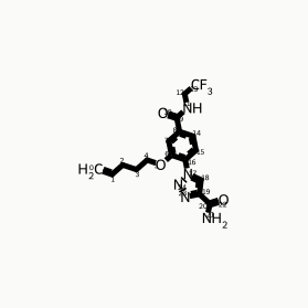 C=CCCCOc1cc(C(=O)NCC(F)(F)F)ccc1-n1cc(C(N)=O)nn1